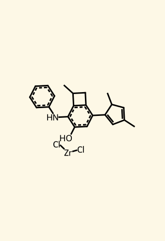 CC1=CC(C)C(c2cc(O)c(Nc3ccccc3)c3c2CC3C)=C1.[Cl][Zr][Cl]